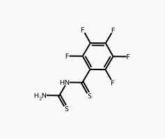 NC(=S)NC(=S)c1c(F)c(F)c(F)c(F)c1F